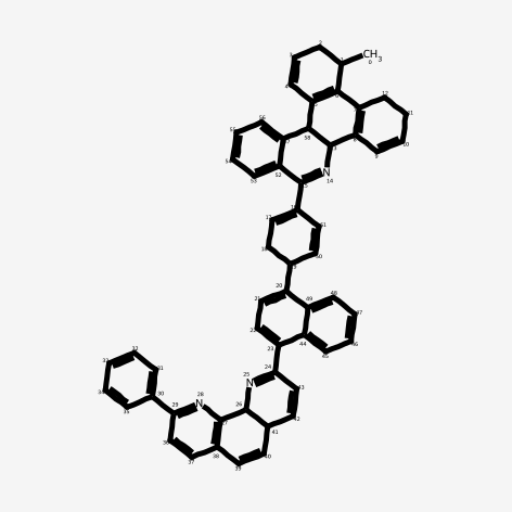 CC1CC=CC2=C1C1=C(C=CCC1)C1N=C(C3=CCC(c4ccc(C5=NC6c7nc(-c8ccccc8)ccc7C=CC6C=C5)c5ccccc45)C=C3)c3ccccc3C21